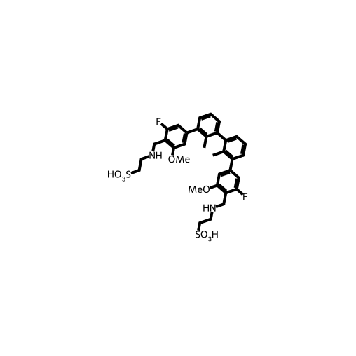 COc1cc(-c2cccc(-c3cccc(-c4cc(F)c(CNCCS(=O)(=O)O)c(OC)c4)c3C)c2C)cc(F)c1CNCCS(=O)(=O)O